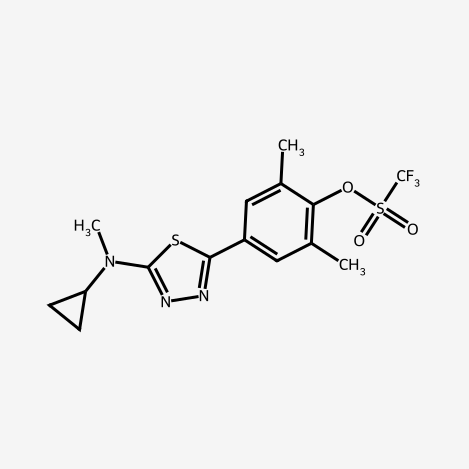 Cc1cc(-c2nnc(N(C)C3CC3)s2)cc(C)c1OS(=O)(=O)C(F)(F)F